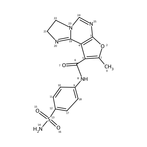 Cc1oc2c(c1C(=O)Nc1ccc(S(N)(=O)=O)cc1)C1=NCCN1C=N2